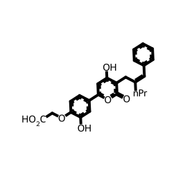 CCCC(=Cc1ccccc1)Cc1c(O)cc(-c2ccc(OCC(=O)O)c(O)c2)oc1=O